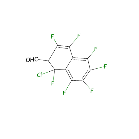 O=CC1C(F)=C(F)c2c(F)c(F)c(F)c(F)c2C1(F)Cl